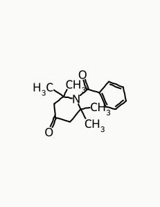 CC1(C)CC(=O)CC(C)(C)N1C(=O)c1ccccc1